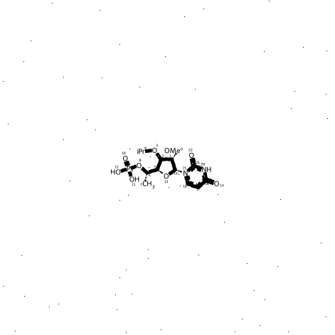 CO[C@H]1C(OC(C)C)[C@@H]([C@H](C)OP(=O)(O)O)O[C@H]1n1ccc(=O)[nH]c1=O